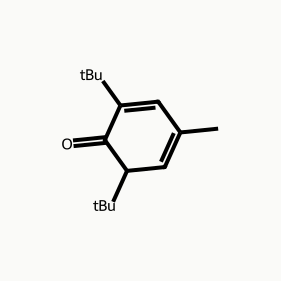 CC1=CC(C(C)(C)C)C(=O)C(C(C)(C)C)=C1